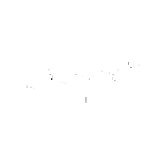 COC(=O)CCCCC(=O)OC.[H]